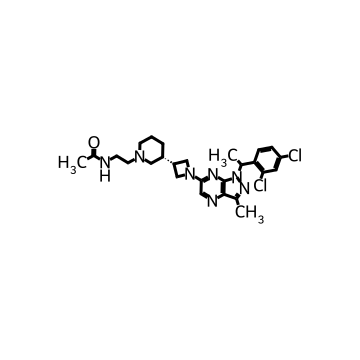 CC(=O)NCCN1CCC[C@H](C2CN(c3cnc4c(C)nn(C(C)c5ccc(Cl)cc5Cl)c4n3)C2)C1